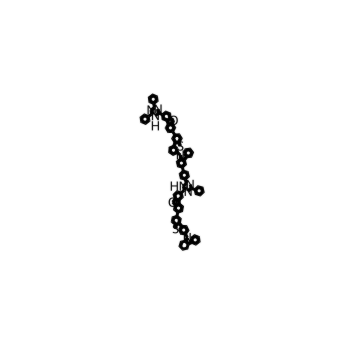 C1=Cc2c(c3ccccc3n2-c2ccc3c(c2)sc2ccc(-c4ccc5c(c4)oc4ccc(C6N=C(c7ccccc7)N=C(c7ccc(-c8ccc9c(c8)c8ccccc8n9-c8cccc9c8sc8ccc(-c%10ccc%11c(c%10)oc%10ccc(C%12=NC(c%13ccccc%13)=NC(c%13ccccc%13)N%12)cc%10%11)cc89)cc7)N6)cc45)cc23)CC1